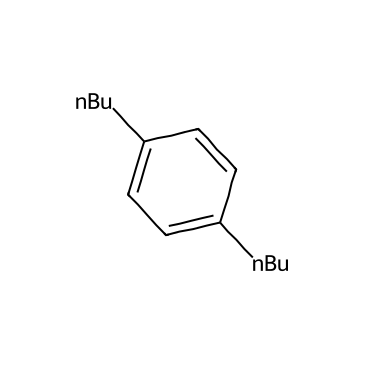 CCCCc1ccc(CCCC)cc1